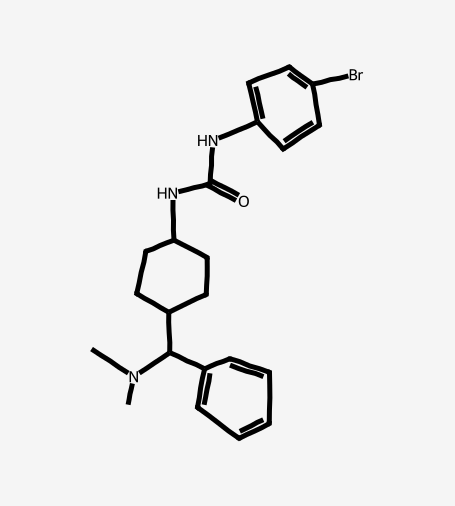 CN(C)C(c1ccccc1)C1CCC(NC(=O)Nc2ccc(Br)cc2)CC1